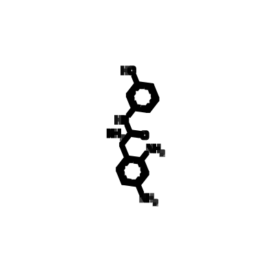 N.Nc1ccc(CC(=O)Nc2cccc(O)c2)c(N)c1